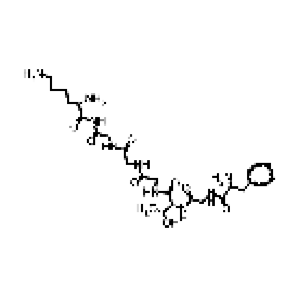 C[C@@H](O)[C@H](NC(=O)CNC(=O)[C@@H](N)Cc1ccccc1)C(=O)NCC(=O)NCC(=O)NCC(=O)NC(=O)[C@@H](N)CCCCN